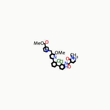 COC(=O)C12CCC(CC1)N(Cc1ccc(-c3cccc(-c4cccc(NC(=O)c5ccnn(C)c5=O)c4Cl)c3Cl)nc1OC)C2